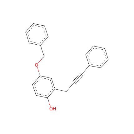 Oc1ccc(OCc2ccccc2)cc1CC#Cc1ccccc1